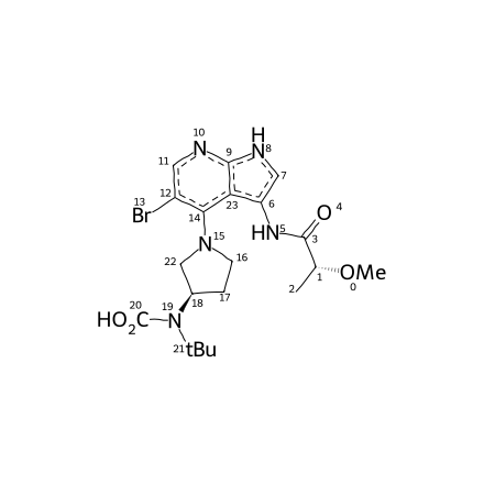 CO[C@H](C)C(=O)Nc1c[nH]c2ncc(Br)c(N3CC[C@@H](N(C(=O)O)C(C)(C)C)C3)c12